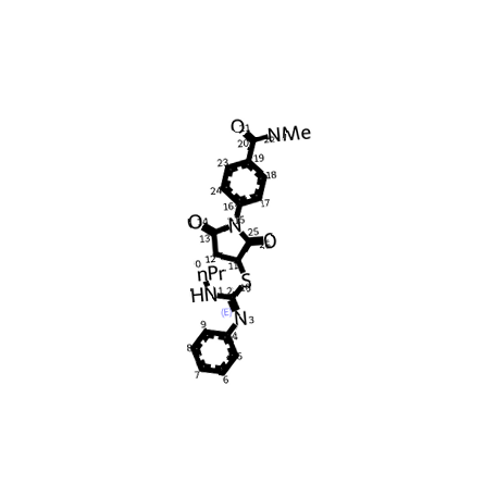 CCCN/C(=N\c1ccccc1)SC1CC(=O)N(c2ccc(C(=O)NC)cc2)C1=O